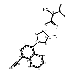 CC(C)[C@H](O)C(=O)N[C@H]1CN(c2ccc(C#N)c3nccnc23)C[C@H]1C